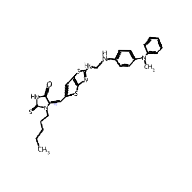 CCCCCN1C(=S)NC(=O)/C1=C\c1cc2sc(NCNc3ccc(N(C)c4ccccc4)cc3)nc2s1